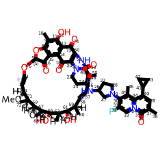 CO[C@H]1/C=C/O[C@@]2(C)Oc3c(C)c(O)c4c(c3C2=O)C(=O)C(N2CCC(NC3CCN(c5c(F)cn6c(=O)c(C)cc(C7CC7)c6c5C)C3)CC2)=C(NC(=O)/C(C)=C\C=C\[C@H](C)[C@H](O)[C@@H](C)[C@@H](O)[C@@H](C)[C@H](OC(C)=O)[C@@H]1C)C4=O